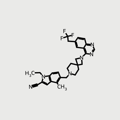 CCn1c(C#N)cc2c(C)c(CN3CCC4(CC3)CN(c3ncnc5ccc(CC(F)(F)F)cc35)C4)ccc21